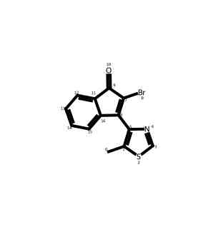 Cc1scnc1C1=C(Br)C(=O)c2ccccc21